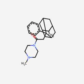 CC1C2CC3CC1CC(C2)C3(CC(=O)N1CCN(C)CC1)c1ccccc1